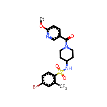 CCOc1ccc(C(=O)N2CCC(NS(=O)(=O)c3ccc(Br)cc3C(F)(F)F)CC2)cn1